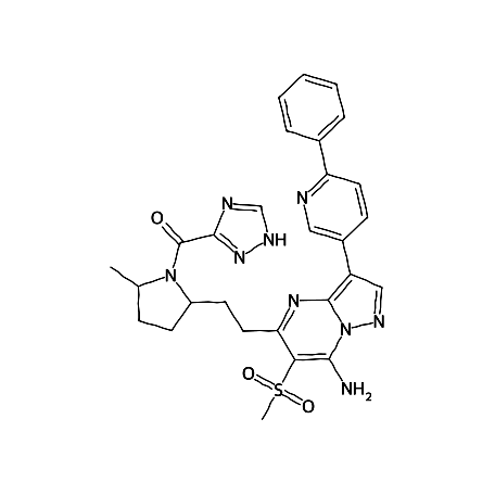 CC1CCC(CCc2nc3c(-c4ccc(-c5ccccc5)nc4)cnn3c(N)c2S(C)(=O)=O)N1C(=O)c1nc[nH]n1